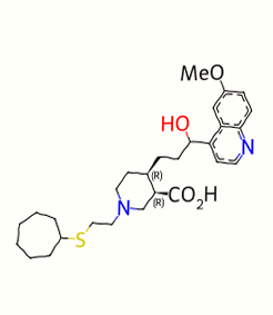 COc1ccc2nccc(C(O)CC[C@@H]3CCN(CCSC4CCCCCC4)C[C@@H]3C(=O)O)c2c1